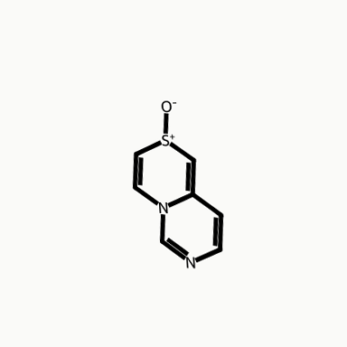 [O-][S+]1C=CN2C=NC=CC2=C1